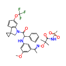 COc1cc(NC(C(=O)N2CC3(CC3)c3ccc(OC(F)(F)F)cc32)c2ccccc2)cc(C(C)=NOC(C)(C)C(=O)NS(C)(=O)=O)c1